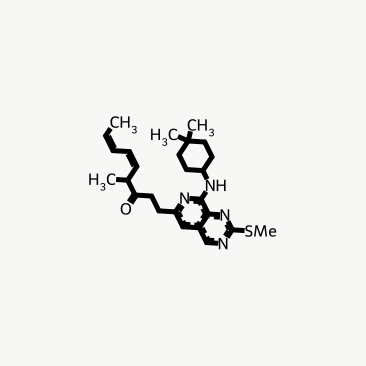 C/C=C\C=C/C(C)C(=O)CCc1cc2cnc(SC)nc2c(NC2CCC(C)(C)CC2)n1